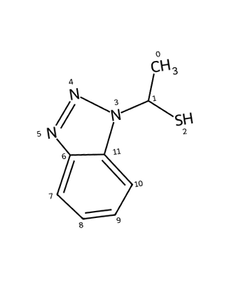 CC(S)n1nnc2ccccc21